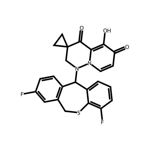 O=C1c2c(O)c(=O)ccn2N(C2c3ccc(F)cc3CSc3c(F)cccc32)CC12CC2